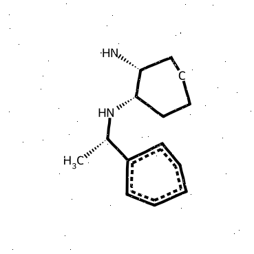 C[C@H](N[C@H]1CCCC[C@H]1[NH])c1ccccc1